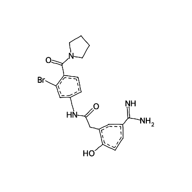 N=C(N)c1ccc(O)c(CC(=O)Nc2ccc(C(=O)N3CCCC3)c(Br)c2)c1